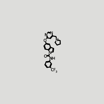 O=C(Nc1cccc(C(F)(F)F)c1)n1ccc2cc(Oc3cc(CN4CCCC4)ncn3)ccc21